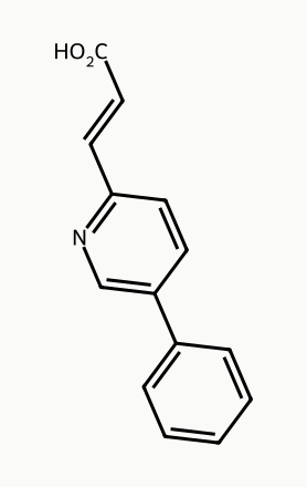 O=C(O)C=Cc1ccc(-c2ccccc2)cn1